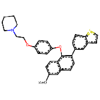 COc1ccc2c(Oc3ccc(OCCN4CCCCC4)cc3)c(-c3ccc4sccc4c3)ccc2c1